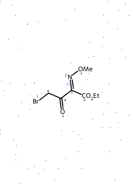 CCOC(=O)/C(=N\OC)C(=O)CBr